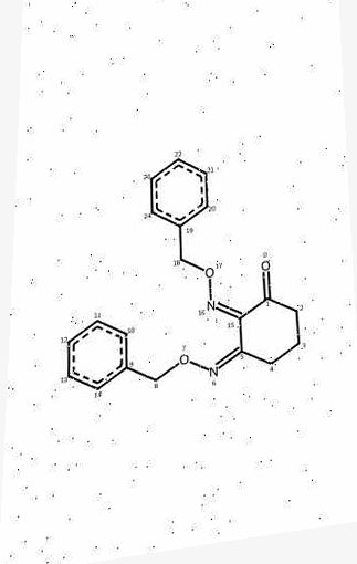 O=C1CCCC(=NOCc2ccccc2)C1=NOCc1ccccc1